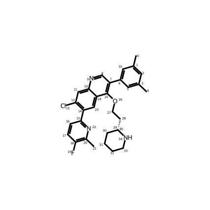 Cc1cc(C)cc(-c2cnc3cc(Cl)c(-c4ccc(F)c(C)n4)cc3c2OCC[C@H]2CCCCN2)c1